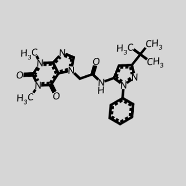 Cn1c(=O)c2c(ncn2CC(=O)Nc2cc(C(C)(C)C)nn2-c2ccccc2)n(C)c1=O